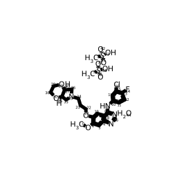 COc1cc2ncnc(Nc3ccc(F)c(Cl)c3)c2cc1OCCCN1C[C@@H]2OCCO[C@@H]2C1.CS(=O)(=O)O.CS(=O)(=O)O.O